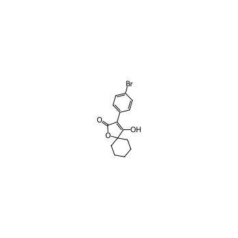 O=C1OC2(CCCCC2)C(O)=C1c1ccc(Br)cc1